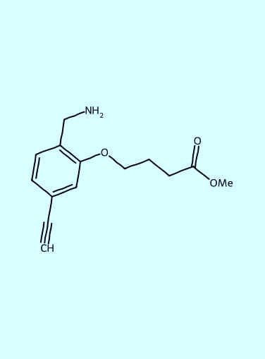 C#Cc1ccc(CN)c(OCCCC(=O)OC)c1